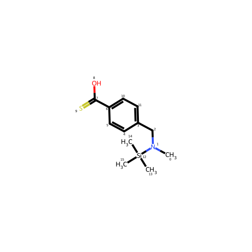 CN(Cc1ccc(C(O)=S)cc1)[Si](C)(C)C